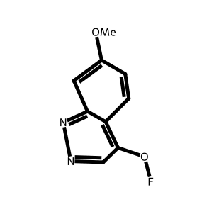 COc1ccc2c(OF)cnnc2c1